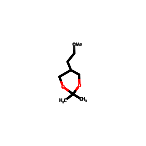 COCCC1COC(C)(C)OC1